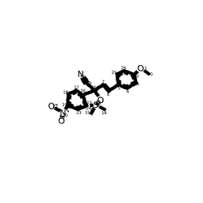 COc1ccc(/C=C/C(C#N)(O[Si](C)(C)C)c2ccc([N+](=O)[O-])cc2)cc1